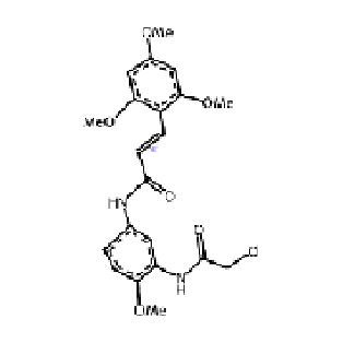 COc1cc(OC)c(/C=C/C(=O)Nc2ccc(OC)c(NC(=O)CCl)c2)c(OC)c1